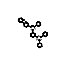 c1ccc(-c2cc(-c3ccc4c(c3)sc3ccccc34)nc(-c3cccc(-c4nc(-c5ccccc5)nc(-c5ccccc5)n4)c3)n2)cc1